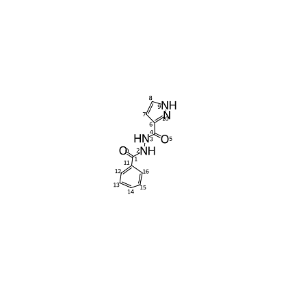 O=C(NNC(=O)c1cc[nH]n1)c1ccccc1